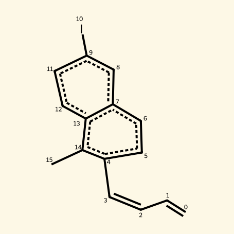 C=C/C=C\c1ccc2cc(I)ccc2c1C